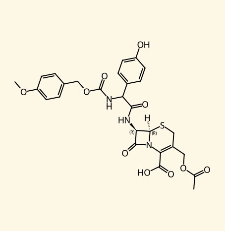 COc1ccc(COC(=O)NC(C(=O)N[C@@H]2C(=O)N3C(C(=O)O)=C(COC(C)=O)CS[C@H]23)c2ccc(O)cc2)cc1